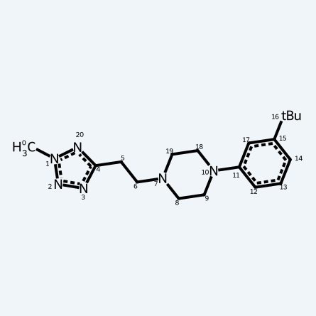 Cn1nnc(CCN2CCN(c3cccc(C(C)(C)C)c3)CC2)n1